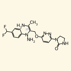 C/C(N)=C(\COc1ccc(N2CCNC2=O)nn1)N(N)c1ccc(C(F)F)cc1